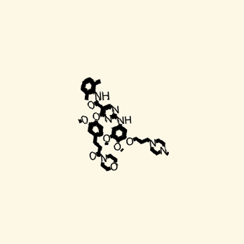 COc1cc(CCC(=O)N2CCOCC2)ccc1Oc1nc(Nc2cc(OC)c(OC)c(OCCCN3CCN(C)CC3)c2)ncc1C(=O)Nc1c(C)cccc1C